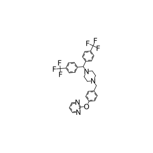 FC(F)(F)c1ccc(C(c2ccc(C(F)(F)F)cc2)N2CCN(Cc3ccc(Oc4ncccn4)cc3)CC2)cc1